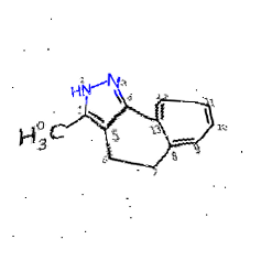 Cc1[nH]nc2c1CCc1ccccc1-2